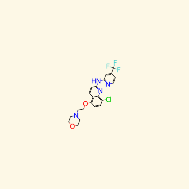 FC(F)(F)c1ccnc(Nc2ccc3c(OCCN4CCOCC4)ccc(Cl)c3n2)c1